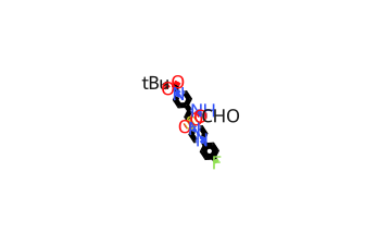 CC(C)(C)OC(=O)N1CCC(C(CS(=O)(=O)N2CCN(c3ccc(F)cc3)CC2)NOC=O)CC1